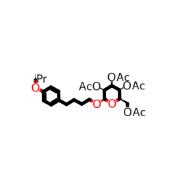 CC(=O)OC[C@H]1O[C@@H](OCCCCc2ccc(OC(C)C)cc2)[C@H](OC(C)=O)[C@@H](OC(C)=O)[C@@H]1OC(C)=O